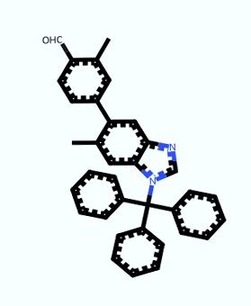 Cc1cc(-c2cc3ncn(C(c4ccccc4)(c4ccccc4)c4ccccc4)c3cc2C)ccc1C=O